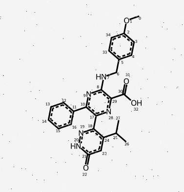 COc1ccc(CNc2nc(-c3ccccc3)c(-c3n[nH]c(=O)cc3C(C)C)nc2C(=O)O)cc1